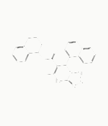 CC1=C(C(=O)OC2CCCc3ccccc32)C(c2cccc3ccccc23)N2NNN=C2N1